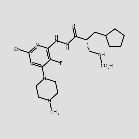 CCc1nc(NNC(=O)[C@@H](CNC(=O)O)CC2CCCC2)c(F)c(N2CCN(C)CC2)n1